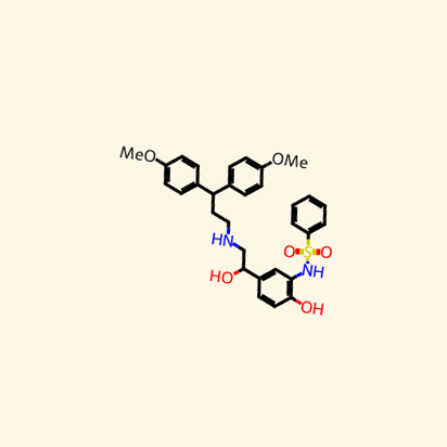 COc1ccc(C(CCNCC(O)c2ccc(O)c(NS(=O)(=O)c3ccccc3)c2)c2ccc(OC)cc2)cc1